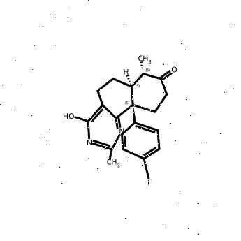 Cc1nc(O)c2c(n1)[C@@]1(c3ccc(F)cc3)CCC(=O)[C@@H](C)[C@@H]1CC2